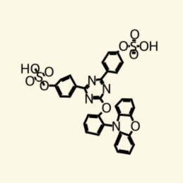 O=S(=O)(O)Oc1ccc(-c2nc(Oc3ccccc3N3c4ccccc4Oc4ccccc43)nc(-c3ccc(OS(=O)(=O)O)cc3)n2)cc1